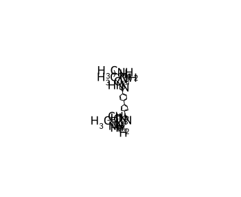 CC(C)C(N)C(=O)N1[C@@H]2C[C@@H]2C[C@H]1c1nc(-c2ccc(-c3ccc(-c4cnc([C@@H]5C[C@H]6C[C@H]6N5C(=O)[C@@H](N)C(C)C)[nH]4)cc3)cc2)c[nH]1